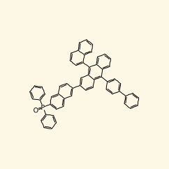 O=P(c1ccccc1)(c1ccccc1)c1ccc2cc(-c3ccc4c(-c5ccc(-c6ccccc6)cc5)c5ccccc5c(-c5cccc6ccccc56)c4c3)ccc2c1